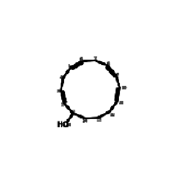 OC1C=CCC=CCC=CC=CCCC1